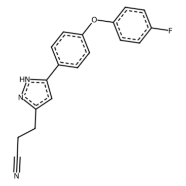 N#CCCc1cc(-c2ccc(Oc3ccc(F)cc3)cc2)[nH]n1